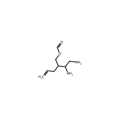 C=CCC(COC=O)C(N)CN